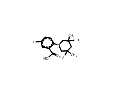 CC1(C)CN(c2ccc(Cl)cc2C(=O)O)CC(C)(C)C1